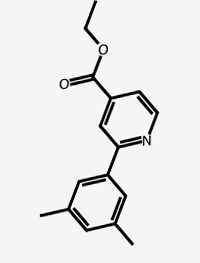 CCOC(=O)c1ccnc(-c2cc(C)cc(C)c2)c1